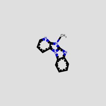 Cn1c2ncccc2n2c3ccccc3nc12